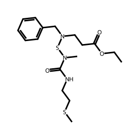 CCOC(=O)CCN(Cc1ccccc1)SN(C)C(=O)NCCSC